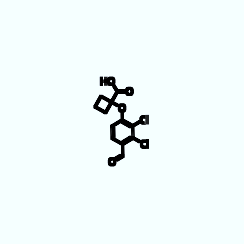 O=Cc1ccc(OC2(C(=O)O)CCC2)c(Cl)c1Cl